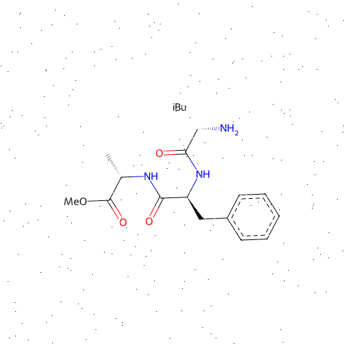 CC[C@H](C)[C@H](N)C(=O)N[C@@H](Cc1ccccc1)C(=O)N[C@@H](C)C(=O)OC